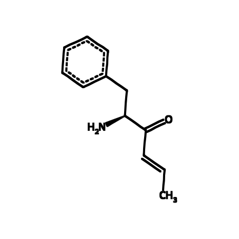 CC=CC(=O)[C@@H](N)Cc1ccccc1